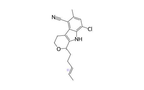 C/C=C/CC[C]1OCCc2c1[nH]c1c(Cl)cc(C)c(C#N)c21